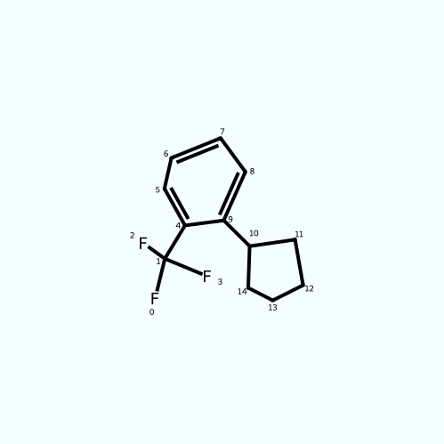 FC(F)(F)c1ccccc1C1CCCC1